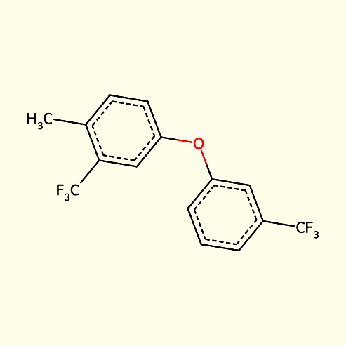 Cc1ccc(Oc2cccc(C(F)(F)F)c2)cc1C(F)(F)F